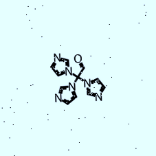 O=CC(n1ccnc1)(n1ccnc1)n1ccnc1